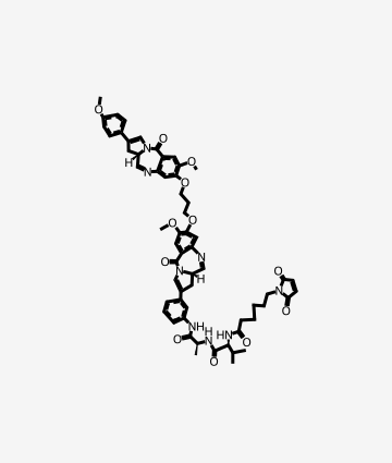 COc1ccc(C2=CN3C(=O)c4cc(OC)c(OCCCOc5cc6c(cc5OC)C(=O)N5C=C(c7cccc(NC(=O)[C@H](C)NC(=O)[C@@H](NC(=O)CCCCCN8C(=O)C=CC8=O)C(C)C)c7)C[C@H]5C=N6)cc4N=C[C@@H]3C2)cc1